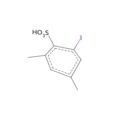 Cc1cc(C)c(S(=O)(=O)O)c(I)c1